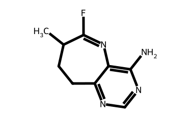 CC1CCc2ncnc(N)c2N=C1F